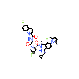 Cc1ccc(C)n1-c1ccc(/C=C/C2CC2)c([C@H](C)NC(=O)[C@@H]2C[C@@H](F)CN2C(=O)CNC(=O)c2ccc3cc(F)ccc3n2)c1F